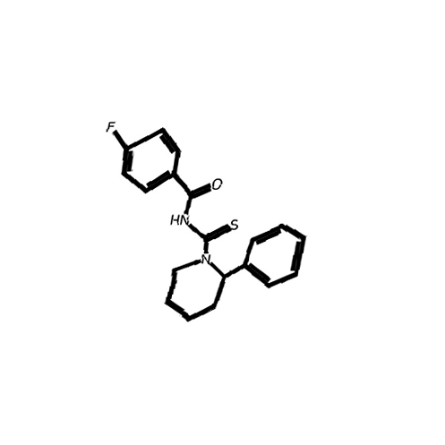 O=C(NC(=S)N1CCCCC1c1ccccc1)c1ccc(F)cc1